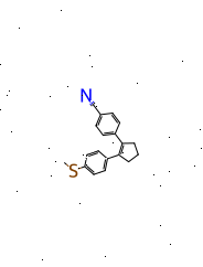 CSc1ccc(C2=C(c3ccc(C#N)cc3)CCC2)cc1